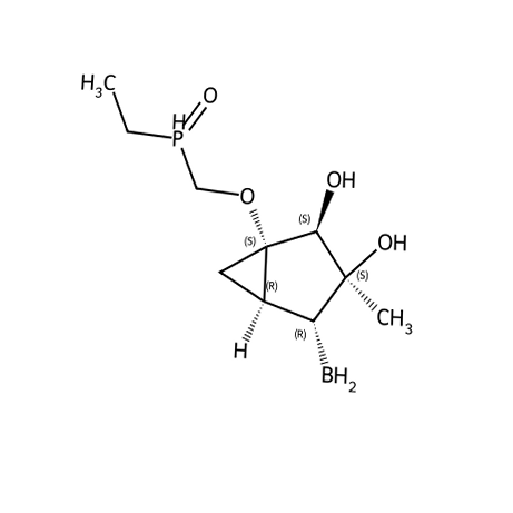 B[C@@H]1[C@H]2C[C@@]2(OC[PH](=O)CC)[C@@H](O)[C@@]1(C)O